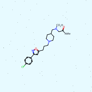 CNC(=O)CN(CC1CCN(CCCc2cc(-c3ccc(Cl)cc3)no2)CC1)C(=O)O